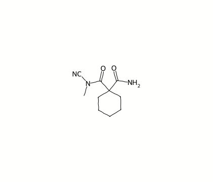 CN(C#N)C(=O)C1(C(N)=O)CCCCC1